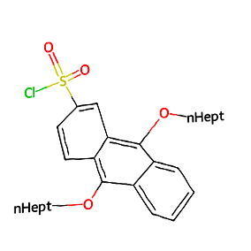 CCCCCCCOc1c2ccccc2c(OCCCCCCC)c2cc(S(=O)(=O)Cl)ccc12